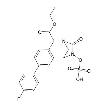 CCOC(=O)C1c2ccc(-c3ccc(F)cc3)cc2C2CN1C(=O)N2OS(=O)(=O)O